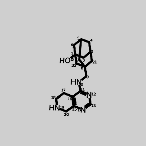 OC12CC3CC(C1)CC(CNc1ncnc4c1CCNC4)(C3)C2